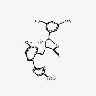 Cc1cc(C)cc([C@H]2OC(=O)N(Cc3cc(C(F)(F)F)ccc3-c3nc(C=O)cs3)[C@H]2C)c1